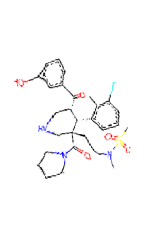 Cc1c(F)cccc1[C@H]1[C@@H](C(=O)c2cccc(O)c2)CNC[C@@]1(CCN(C)S(C)(=O)=O)C(=O)N1[CH]CCC1